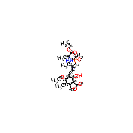 CCOC(=O)[C@H](C)NP(C)(=O)C/C(C)=C/Cc1c(O)c2c(c(C)c1OC)COC2=O